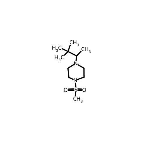 CC(N1CCN(S(C)(=O)=O)CC1)C(C)(C)C